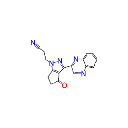 N#CCCn1nc(-c2cnc3ccccc3n2)c2c1CCC2=O